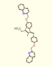 CC1=C(CC(=O)O)c2cc(OCc3ccc4ccccc4n3)ccc2C1=Cc1ccc(OCc2ccc3ccccc3n2)cc1